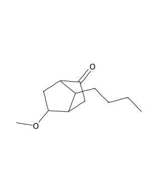 CCCCC1C2CC(OC)C1CC2=O